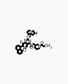 C=CC(=O)N1CCCC(/C=[N+](\C)c2nc(OC[C@@]34CCCN3C[C@H](F)C4)nc3c(F)c(-c4cccc5cccc(Cl)c45)ncc23)C1